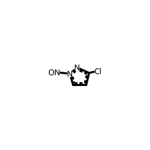 O=Nn1ccc(Cl)n1